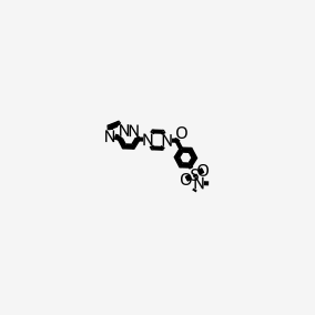 CN(C)S(=O)(=O)c1ccc(C(=O)N2CCN(c3ccc4nccn4n3)CC2)cc1